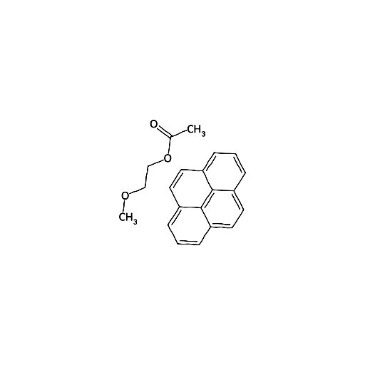 COCCOC(C)=O.c1cc2ccc3cccc4ccc(c1)c2c34